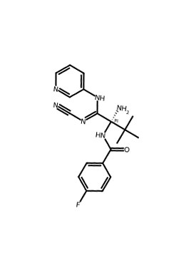 CC(C)(C)[C@@](N)(NC(=O)c1ccc(F)cc1)C(=NC#N)Nc1cccnc1